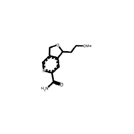 COCCC1OCc2cnc(C(N)=O)cc21